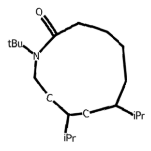 CC(C)C1CCCCC(=O)N(C(C)(C)C)CCC(C(C)C)C1